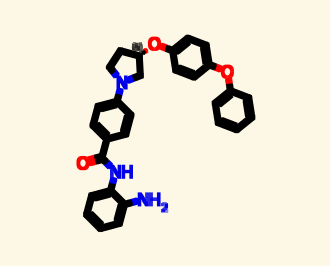 Nc1ccccc1NC(=O)c1ccc(N2CC[C@H](Oc3ccc(Oc4ccccc4)cc3)C2)cc1